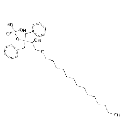 CCCCCCCCCCCCCCOCC(O)C(Cc1ccccc1)(Cc1ccccc1)OP(=O)(O)O